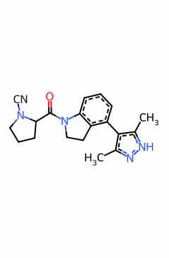 Cc1n[nH]c(C)c1-c1cccc2c1CCN2C(=O)C1CCCN1C#N